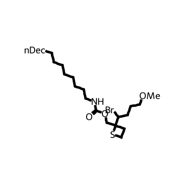 CCCCCCCCCCCCCCCCCCNC(=O)OCC1(C(Br)CCCOC)CCS1